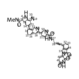 CNC(=O)c1c[nH]c2c(N(C)C)cc(-c3cccc4cc(-c5ccc(C(=O)NCCC#Cc6cccc7c6CN(C6CCC(=O)NC6=O)C7=O)nc5)ncc34)cc12